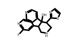 OC1(c2ccncc2)C(c2ccnc(F)c2)CNCC1c1nccs1